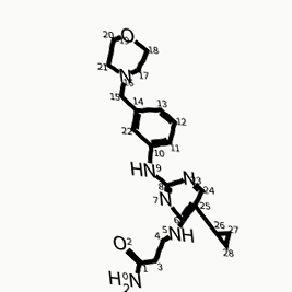 NC(=O)CCNc1nc(Nc2cccc(CN3CCOCC3)c2)ncc1C1CC1